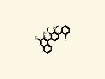 CSc1c(-c2ccccc2F)ccc(-c2c(F)c(Br)cc3ccccc23)c1SC